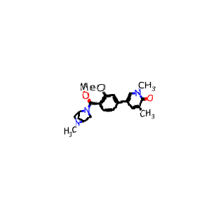 COc1cc(-c2cc(C)c(=O)n(C)c2)ccc1C(=O)N1CC2CC1CN2C